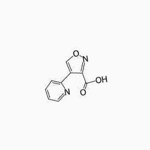 O=C(O)c1nocc1-c1ccccn1